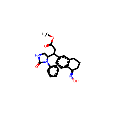 COC(=O)CC(c1ccc2c(c1)CCCC2=NO)C1CNC(=O)N1c1ccccc1